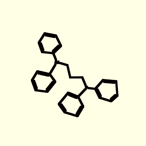 c1ccc(P(CCC[As](c2ccccc2)c2ccccc2)c2ccccc2)cc1